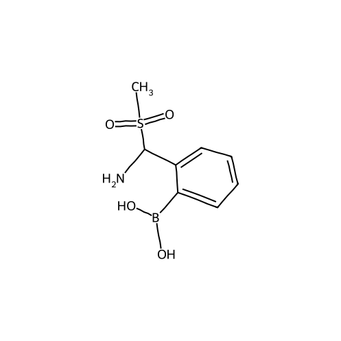 CS(=O)(=O)C(N)c1ccccc1B(O)O